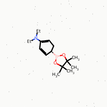 CCN(CC)C1=CC[C@@H](B2OC(C)(C)C(C)(C)O2)C=C1